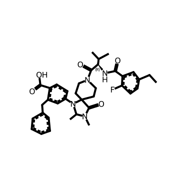 CCc1ccc(F)c(C(=O)N[C@@H](C(=O)N2CCC3(CC2)C(=O)N(C)C(C)N3c2ccc(C(=O)O)c(Cc3ccccc3)c2)C(C)C)c1